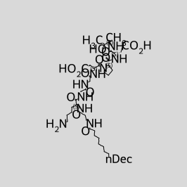 CCCCCCCCCCCCCCCCCC(=O)NCCC(=O)N[C@@H](CCCCN)C(=O)NCC(=O)NCC(=O)N[C@@H](CC(=O)O)C(=O)N1CCC[C@H]1C(=O)N[C@@H](CCC(=O)O)C(=O)N[C@H](C)C(C)O